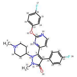 CN1CCC(n2c(-c3ccnc(Oc4ccc(F)cc4)n3)c(-c3ccc(F)cc3)c(=O)n2C)CC1